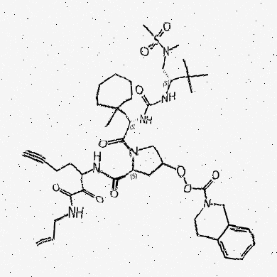 C#CCCC(NC(=O)[C@@H]1CC(OOC(=O)N2CCc3ccccc3C2)CN1C(=O)[C@@H](NC(=O)N[C@H](CN(C)S(C)(=O)=O)C(C)(C)C)C1(C)CCCCC1)C(=O)C(=O)NCC=C